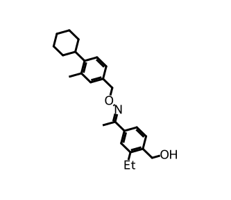 CCc1cc(/C(C)=N/OCc2ccc(C3CCCCC3)c(C)c2)ccc1CO